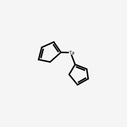 C1=CC[C]([Ta][C]2=CC=CC2)=C1